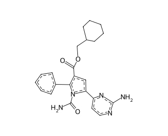 NC(=O)n1c(-c2ccnc(N)n2)cc(C(=O)OCC2CCCCC2)c1-c1ccccc1